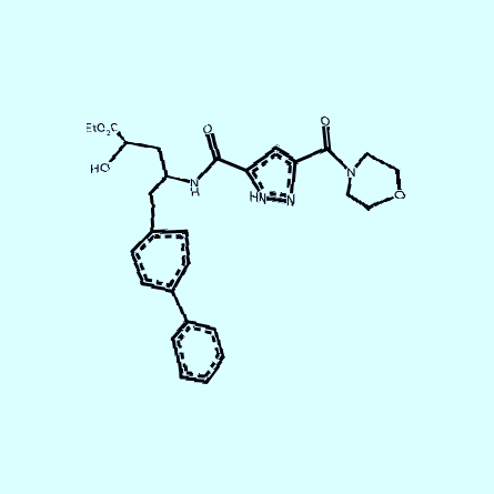 CCOC(=O)[C@H](O)CC(Cc1ccc(-c2ccccc2)cc1)NC(=O)c1cc(C(=O)N2CCOCC2)n[nH]1